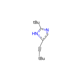 CC(C)(C)C#Cc1cnc(C(C)(C)C)[nH]1